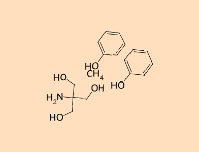 C.NC(CO)(CO)CO.Oc1ccccc1.Oc1ccccc1